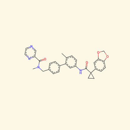 Cc1ccc(NC(=O)C2(c3ccc4c(c3)OCO4)CC2)cc1-c1ccc(CN(C)C(=O)c2cnccn2)cc1